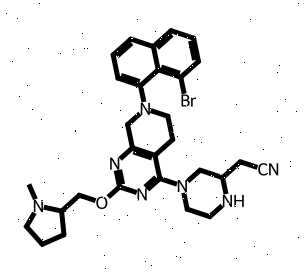 CN1CCCC1COc1nc2c(c(N3CCNC(CC#N)C3)n1)CCN(c1cccc3cccc(Br)c13)C2